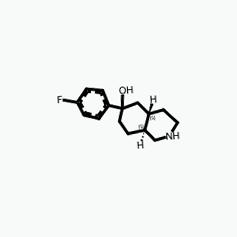 OC1(c2ccc(F)cc2)CC[C@@H]2CNCC[C@H]2C1